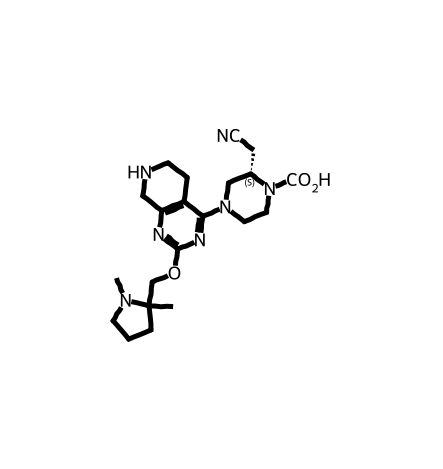 CN1CCCC1(C)COc1nc2c(c(N3CCN(C(=O)O)[C@@H](CC#N)C3)n1)CCNC2